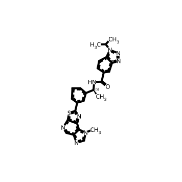 CC(C)n1nnc2cc(C(=O)N[C@@H](C)c3cccc(-c4nc5c(ncc6ncn(C)c65)s4)c3)ccc21